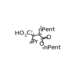 CCCCCOC(=O)C(CCCCC)C(C(=O)O)C(C)C